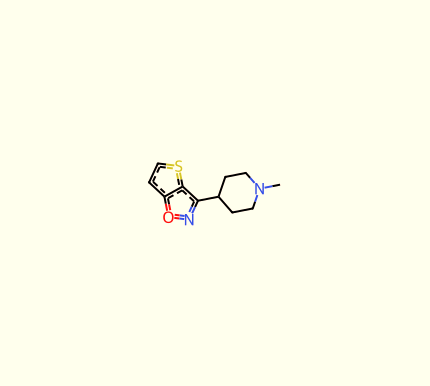 CN1CCC(c2noc3ccsc23)CC1